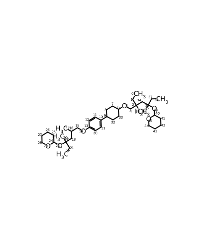 CCC(C)(COC1CCC(c2ccc(OCC(C)CC(C)(CC)OC3CCCCO3)cc2)CC1)CC(C)(CC)OC1CCCCO1